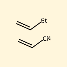 C=CC#N.C=CCC